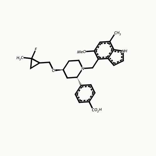 COc1cc(C)c2[nH]ccc2c1CN1CC[C@H](OCC2CC2(C)F)C[C@H]1c1ccc(C(=O)O)cc1